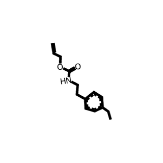 C=CCOC(=O)NCCc1ccc(CC)cc1